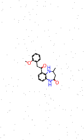 COc1ccccc1CC(=O)c1cccc2c1NC(C)CC(=O)N2